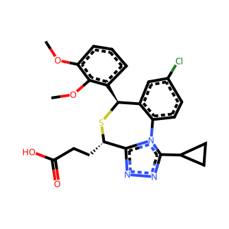 COc1cccc([C@@H]2S[C@@H](CCC(=O)O)c3nnc(C4CC4)n3-c3ccc(Cl)cc32)c1OC